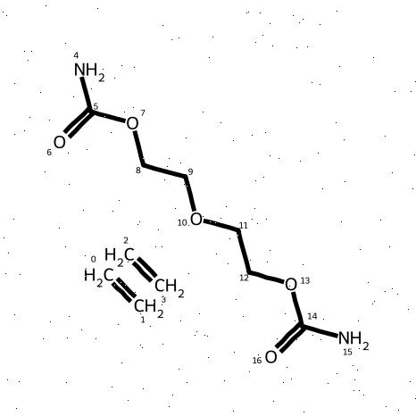 C=C.C=C.NC(=O)OCCOCCOC(N)=O